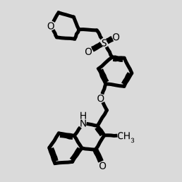 Cc1c(COc2cccc(S(=O)(=O)CC3CCOCC3)c2)[nH]c2ccccc2c1=O